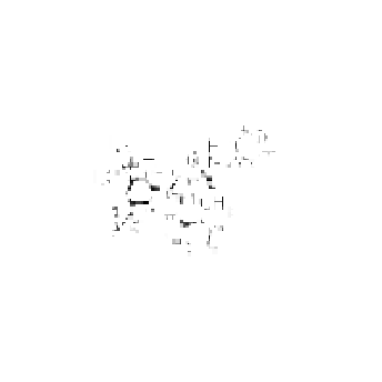 Cc1c(S(=O)(=O)NCC2CCOCC2)cc(-c2cc(C(C)(C)C)cc(C3(C)CC3)c2)n1CC1CCCCC1